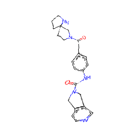 O=C(Nc1ccc(C(=O)N2CCC3(CCCN3)C2)cc1)N1Cc2ccncc2C1